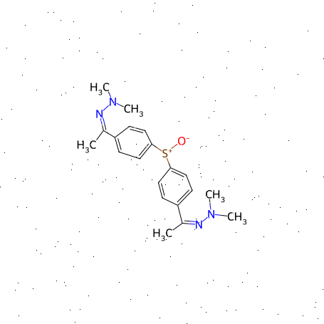 C/C(=N/N(C)C)c1ccc([S+]([O-])c2ccc(/C(C)=N\N(C)C)cc2)cc1